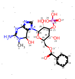 CN1C(N)=Nc2ncn([C@@H]3O[C@H](COC(=O)c4ccccc4)[C@@H](O)[C@H](OP(=O)(O)O)[C@H]3O)c2C1O